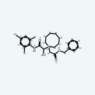 CCC(C(=O)Nc1c(C)cc(I)cc1C)[N+]1(CC(=O)OCc2ccccc2)CCCCCCC1